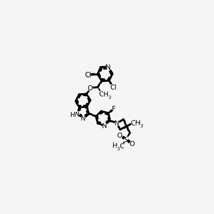 C[C@@H](Oc1ccc2[nH]nc(-c3cnc(N4CC(C)(CS(C)(=O)=O)C4)c(F)c3)c2c1)c1c(Cl)cncc1Cl